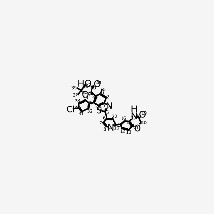 Cc1cc2nc(-c3ccnc(-c4ccc5c(c4)NC(=O)CO5)c3)sc2c(-c2ccc(Cl)cc2)c1[C@H](OC(C)(C)C)C(=O)O